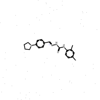 Cc1ccc(NC(=O)N/N=C/c2ccc(N3CCCC3)cc2)c(C)c1